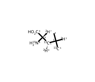 [2H][13C@@H](C([2H])(C)[13CH3])[C@]([2H])([15NH2])C(=O)O